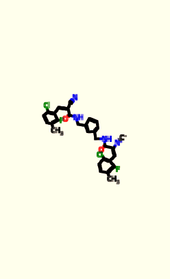 [C-]#[N+]/C(=C/c1c(Cl)ccc(C)c1F)C(=O)NCc1cccc(CNC(=O)/C(C#N)=C\c2c(Cl)ccc(C)c2F)c1